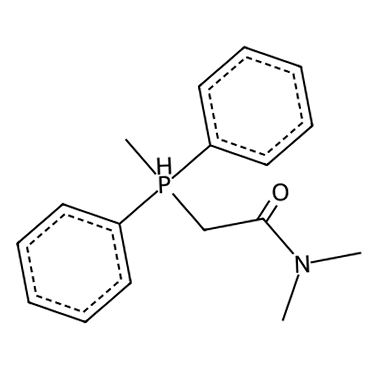 CN(C)C(=O)C[PH](C)(c1ccccc1)c1ccccc1